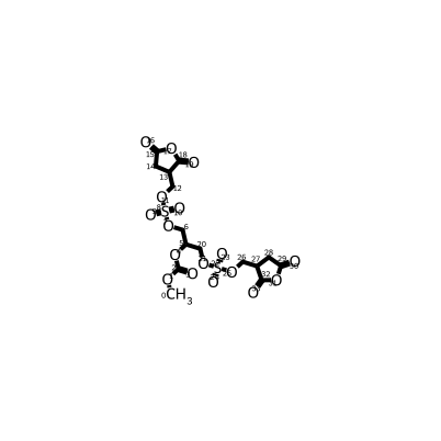 COC(=O)OC(COS(=O)(=O)OCC1CC(=O)OC1=O)COS(=O)(=O)OCC1CC(=O)OC1=O